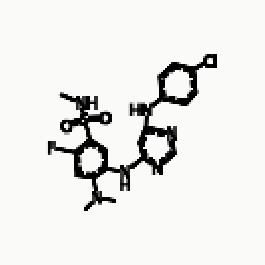 CNS(=O)(=O)c1cc(Nc2cc(Nc3ccc(Cl)cc3)ncn2)c(N(C)C)cc1F